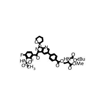 COC(=O)C(COC(=O)c1ccc(-c2cnc3c(c2)c(C(=O)c2ccc(F)c(NS(C)(=O)=O)c2F)nn3C2CCCCO2)cc1)NC(=O)OC(C)(C)C